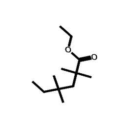 CCOC(=O)C(C)(C)CC(C)(C)CC